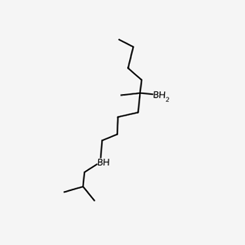 BC(C)(CCCC)CCCCBCC(C)C